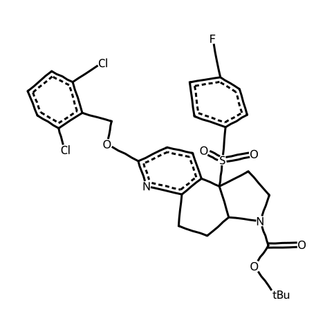 CC(C)(C)OC(=O)N1CCC2(S(=O)(=O)c3ccc(F)cc3)c3ccc(OCc4c(Cl)cccc4Cl)nc3CCC12